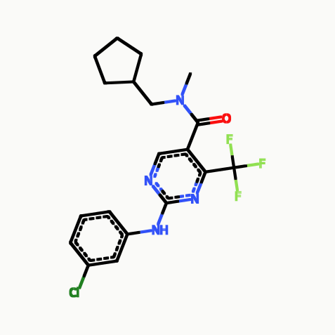 CN(CC1CCCC1)C(=O)c1cnc(Nc2cccc(Cl)c2)nc1C(F)(F)F